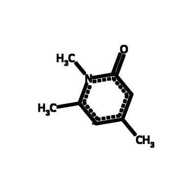 Cc1[c]c(C)n(C)c(=O)c1